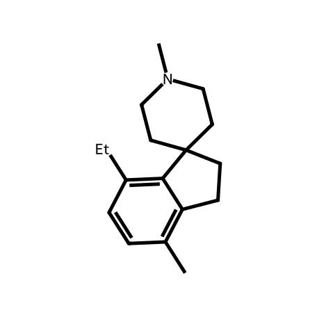 CCc1ccc(C)c2c1C1(CC2)CCN(C)CC1